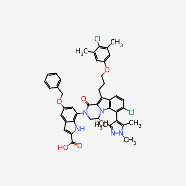 Cc1cc(OCCCc2c3n(c4c(-c5c(C)nn(C)c5C)c(Cl)ccc24)[C@H](C)CN(c2cc(OCc4ccccc4)cc4cc(C(=O)O)[nH]c24)C3=O)cc(C)c1Cl